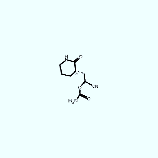 N#CC(C[C@@H]1CCCNC1=O)OC(N)=O